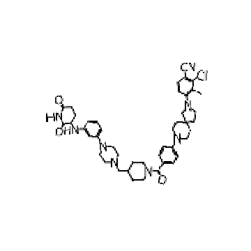 Cc1c(N2CCC3(CCN(c4ccc(C(=O)N5CCC(CN6CCN(c7cccc(NC8CCC(=O)NC8=O)c7)CC6)CC5)cc4)CC3)C2)ccc(C#N)c1Cl